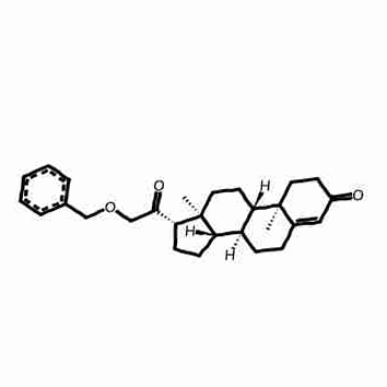 C[C@]12CC[C@H]3[C@@H](CCC4=CC(=O)CC[C@@]43C)[C@@H]1CC[C@@H]2C(=O)COCc1ccccc1